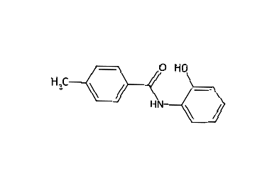 Cc1ccc(C(=O)Nc2ccccc2O)cc1